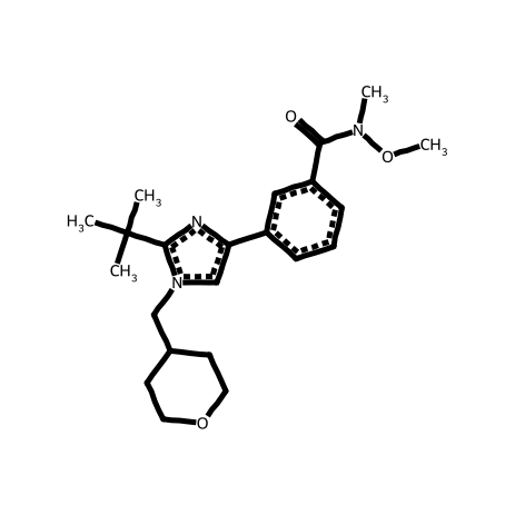 CON(C)C(=O)c1cccc(-c2cn(CC3CCOCC3)c(C(C)(C)C)n2)c1